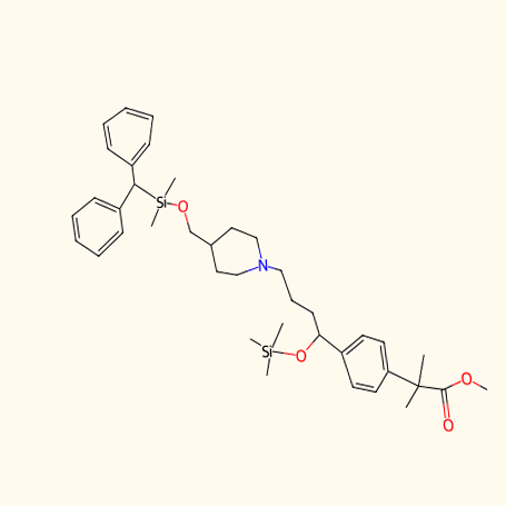 COC(=O)C(C)(C)c1ccc(C(CCCN2CCC(CO[Si](C)(C)C(c3ccccc3)c3ccccc3)CC2)O[Si](C)(C)C)cc1